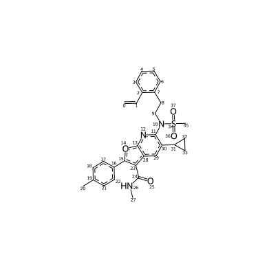 C=Cc1ccccc1CCN(c1nc2oc(-c3ccc(C)cc3)c(C(=O)NC)c2cc1C1CC1)S(C)(=O)=O